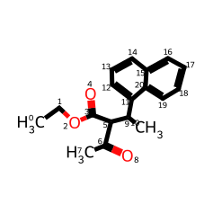 CCOC(=O)C(C(C)=O)C(C)c1cccc2ccccc12